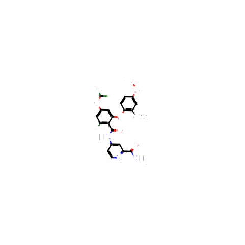 COc1cc(OC(F)(F)F)ccc1Oc1cc(OC(F)F)cc(F)c1C(=O)Nc1ccnc(C(N)=O)c1